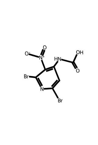 O=C(O)Nc1cc(Br)nc(Br)c1[N+](=O)[O-]